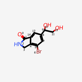 O=C1NCc2c(Br)cc(C(O)CO)cc21